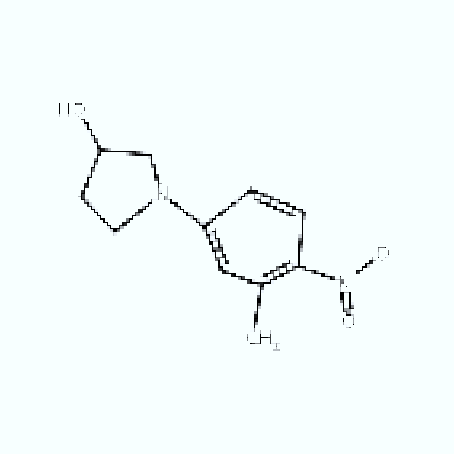 Cc1cc(N2CCC(O)C2)ccc1[N+](=O)[O-]